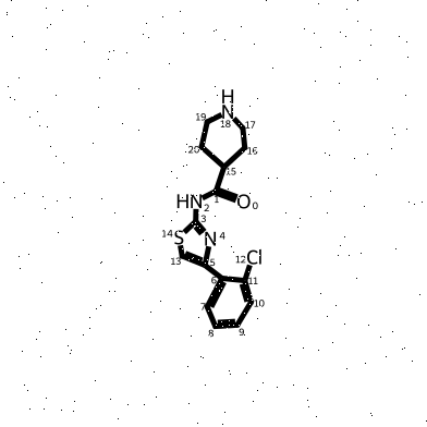 O=C(Nc1nc(-c2ccccc2Cl)cs1)C1CCNCC1